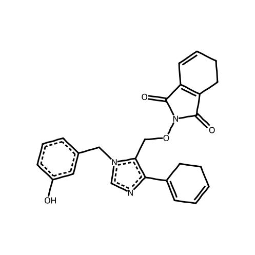 O=C1C2=C(CCC=C2)C(=O)N1OCc1c(C2=CC=CCC2)ncn1Cc1cccc(O)c1